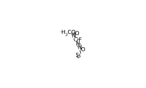 [CH2][C@H]1CN(c2ccc(N3CCN(C(=O)/C=C/c4cccs4)CC3)c(F)c2)C(=O)O1